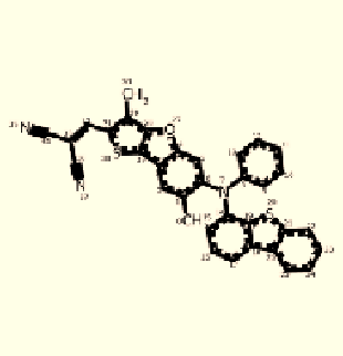 Cc1cc2c(cc1N(c1ccccc1)c1cccc3c1sc1ccccc13)oc1c(C)c(C=C(C#N)C#N)sc12